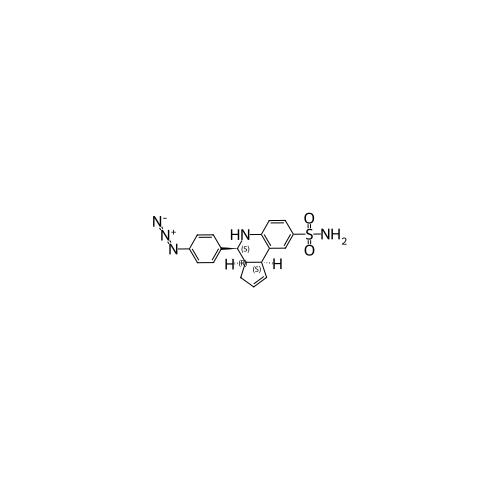 [N-]=[N+]=Nc1ccc([C@H]2Nc3ccc(S(N)(=O)=O)cc3[C@H]3C=CC[C@H]32)cc1